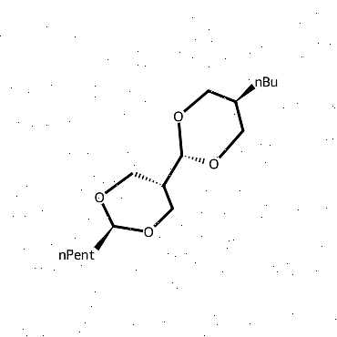 CCCCC[C@H]1OC[C@H]([C@H]2OC[C@H](CCCC)CO2)CO1